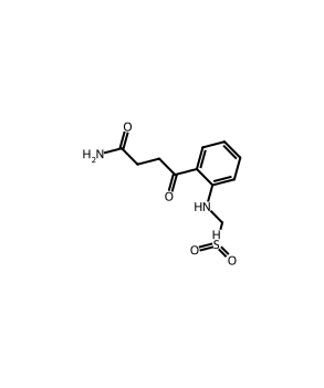 NC(=O)CCC(=O)c1ccccc1NC[SH](=O)=O